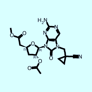 COC(=O)C[C@@H]1C[C@@H](OC(C)=O)[C@H](n2c(=O)n(CC3(C#N)CC3)c3cnc(N)nc32)O1